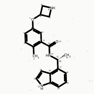 Cc1ccc(OC2CNC2)cc1C(=O)N[C@H](C)c1cccc2[nH]ccc12